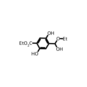 CCOC(=O)c1cc(O)c(C(O)OCC)cc1O